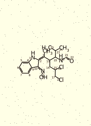 C/C(=C1\Nc2ccccc2\C1=N/O)C(CC(Cl)CCl)C(NC=O)C(C)C